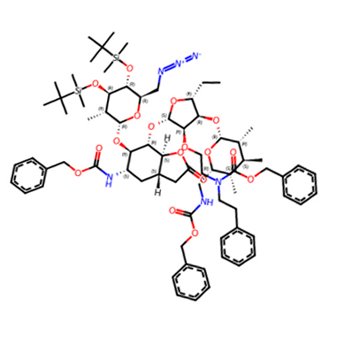 CC[C@H]1O[C@@H](O[C@@H]2[C@H]3OC(=O)C[C@@H]3C[C@H](NC(=O)OCc3ccccc3)[C@H]2O[C@H]2O[C@H](CN=[N+]=[N-])[C@@H](O[Si](C)(C)C(C)(C)C)[C@H](O[Si](C)(C)C(C)(C)C)[C@H]2C)[C@H](OCCN(CCc2ccccc2)C(=O)OCc2ccccc2)[C@@H]1O[C@H]1O[C@@H](CNC(=O)OCc2ccccc2)[C@@H](C)[C@H](C)[C@H]1C